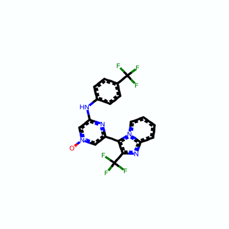 [O-][n+]1cc(Nc2ccc(C(F)(F)F)cc2)nc(-c2c(C(F)(F)F)nc3ccccn23)c1